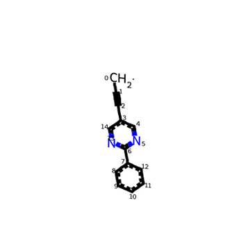 [CH2]C#Cc1cnc(-c2ccccc2)nc1